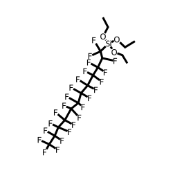 CCO[Si](OCC)(OCC)C(F)(F)C(F)C(F)(F)C(F)(F)C(F)(F)C(F)(F)C(F)(F)C(F)(F)C(F)(F)C(F)(F)C(F)(F)C(F)(F)F